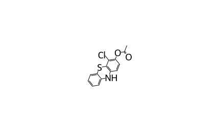 CC(=O)Oc1ccc2c(c1Cl)Sc1ccccc1N2